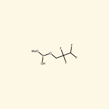 COP(O)OCC(F)(F)C(F)F